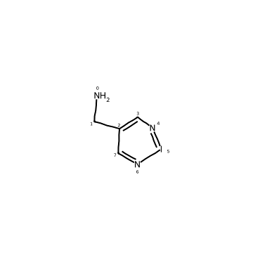 NCC1=CN=IN=C1